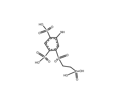 [NH]c1cc(S(=O)(=O)CCP(=O)(O)O)c(S(=O)(=O)O)cc1S(=O)(=O)O